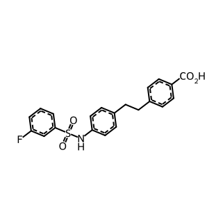 O=C(O)c1ccc(CCc2ccc(NS(=O)(=O)c3cccc(F)c3)cc2)cc1